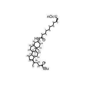 CCCCCCCC/C=C\CCCCCCCC(=O)NC1CCC2(C)C(CCC3C2CC[C@]2(C)C3CCC2[C@H](C)CCC(=O)C(C)(C)C)C1